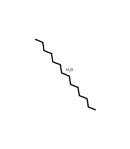 O.[CH2]CCCCCCCCCCCCC